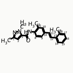 Cc1cc(C(=O)Nc2ccc(/C=C/c3ccccc3C)cc2C)n(C)n1